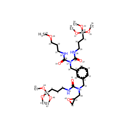 CCO[Si](CCCNC(=O)N(Cc1cccc(CN(C(=O)NCCCO[SiH3])C(=O)NCCC[Si](OCC)(OCC)OCC)c1)CC1CO1)(OCC)OCC